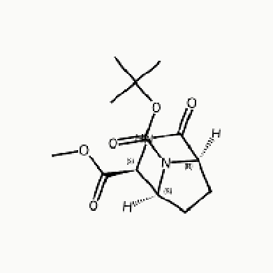 COC(=O)[C@H]1NC(=O)[C@H]2CC[C@@H]1N2C(=O)OC(C)(C)C